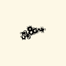 CC(=O)N1CCC[C@@H]1C(=O)N[C@@H]1CCC2(CCN(CCC(C)(C)C)CC2)c2ccccc21